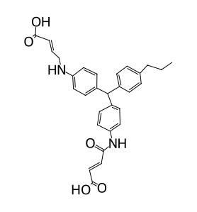 CCCc1ccc(C(c2ccc(NC/C=C/C(=O)O)cc2)c2ccc(NC(=O)/C=C/C(=O)O)cc2)cc1